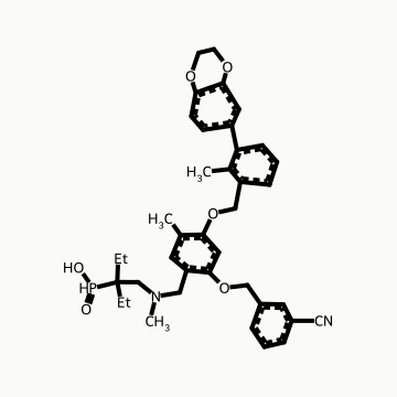 CCC(CC)(CN(C)Cc1cc(C)c(OCc2cccc(-c3ccc4c(c3)OCCO4)c2C)cc1OCc1cccc(C#N)c1)[PH](=O)O